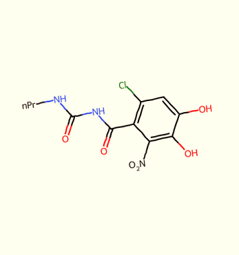 CCCNC(=O)NC(=O)c1c(Cl)cc(O)c(O)c1[N+](=O)[O-]